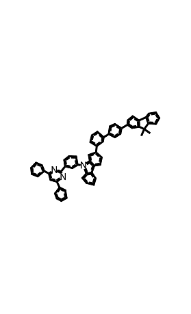 CC1(C)c2ccccc2-c2ccc(-c3ccc(-c4cccc(-c5ccc6c7ccccc7n(-c7cccc(-c8nc(-c9ccccc9)cc(-c9ccccc9)n8)c7)c6c5)c4)cc3)cc21